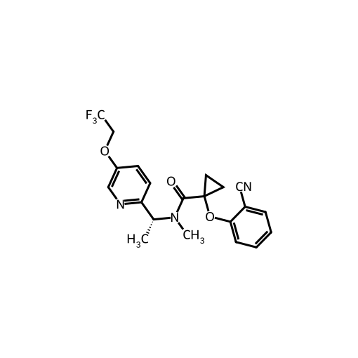 C[C@H](c1ccc(OCC(F)(F)F)cn1)N(C)C(=O)C1(Oc2ccccc2C#N)CC1